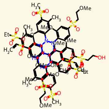 C=CS(=O)(=O)c1ccc(N(N(Nc2ccc(S(C)(=O)=O)cc2OC)c2ccc(S(=O)(=O)CC)cc2OC)N(c2ccc(S(=O)(=O)CCO)cc2OC)N(c2ccc(S(=O)(=O)CCOC)cc2OC)N(c2cc(C)c(S(C)(=O)=O)cc2OC)N(c2cc(C)c(S(=O)(=O)CC)cc2OC)N(Nc2cc(C)c(S(=O)(=O)CCOC)cc2OC)c2cc(C)c(S(=O)(=O)C=C)cc2OC)c(OC)c1